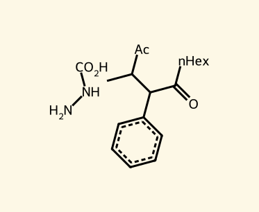 CCCCCCC(=O)C(c1ccccc1)C(C)C(C)=O.NNC(=O)O